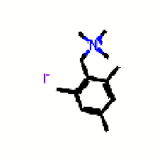 Cc1cc(C)c(C[N+](C)(C)C)c(C)c1.[I-]